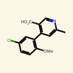 COc1ccc(Cl)cc1-c1cc(C)ncc1C(=O)O